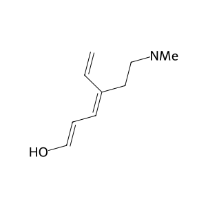 C=C/C(=C\C=C\O)CCNC